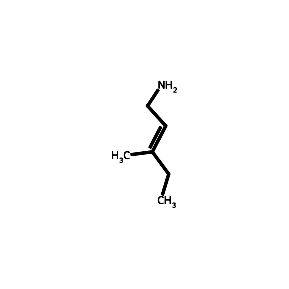 CC/C(C)=C/CN